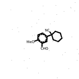 COc1ccc(C2(C#N)CCCCC2)cc1C=O